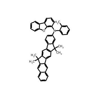 Cc1ccccc1N(c1ccc2c(c1)C(C)(C)c1cc3c(cc1-2)C(C)(C)c1cc2ccccc2cc1-3)c1cccc2c1oc1ccccc12